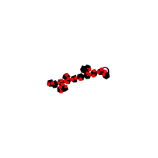 c1ccc2cc(-c3ccc(-c4ccc(-c5ccc(-c6ccc(-c7ccc(-c8ccc(-c9ccc%10oc%11ccccc%11c%10c9)cc8)c8c7-c7cccc9cccc-8c79)cc6)cc5)c5ccccc45)c4c3-c3cccc5cccc-4c35)ccc2c1